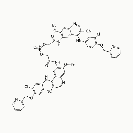 CCOc1cc2ncc(C#N)c(Nc3ccc(OCc4ccccn4)c(Cl)c3)c2cc1NC(=O)CO[PH](=O)OCC(=O)Nc1cc2c(Nc3ccc(OCc4ccccn4)c(Cl)c3)c(C#N)cnc2cc1OCC